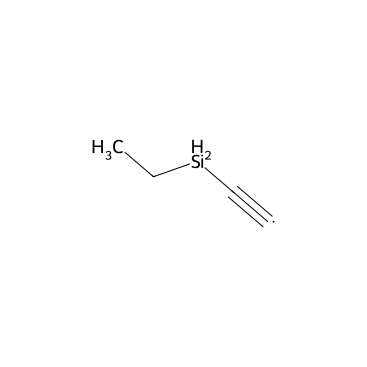 [C]#C[SiH2]CC